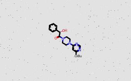 CC(C)COc1cc(N2CCN(C(=O)[C@@H](O)c3ccccc3)CC2)ncn1